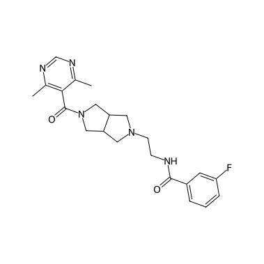 Cc1ncnc(C)c1C(=O)N1CC2CN(CCNC(=O)c3cccc(F)c3)CC2C1